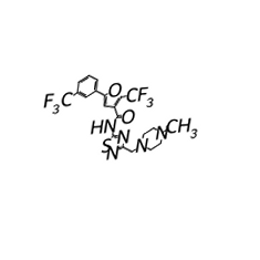 CN1CCN(Cc2nsc(NC(=O)c3cc(-c4cccc(C(F)(F)F)c4)oc3C(F)(F)F)n2)CC1